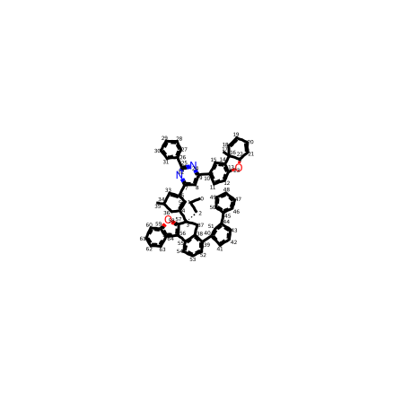 CCC[C@]1(C2=CC(c3cc(-c4ccc5c(c4)C4(C)C=CC=CC4O5)nc(-c4ccccc4)n3)=CC(C)C2)Cc2c(-c3cccc(-c4ccccc4)c3)cccc2-c2c1oc1ccccc21